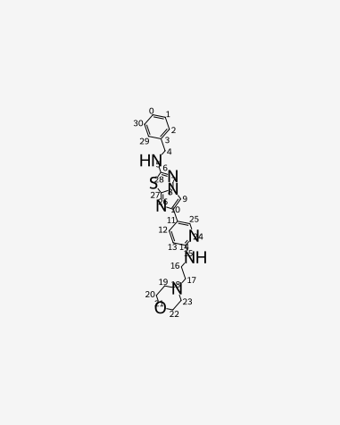 c1ccc(CNc2nn3cc(-c4ccc(NCCN5CCOCC5)nc4)nc3s2)cc1